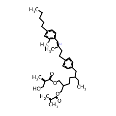 C=C(C)C(=O)OCC(CCC(CC)Cc1ccc(CC/C(C)=C/c2ccc(CCCCC)cc2C)cc1)COC(=O)C(=C)CO